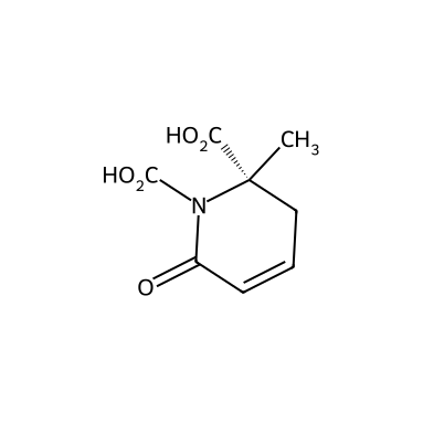 C[C@@]1(C(=O)O)CC=CC(=O)N1C(=O)O